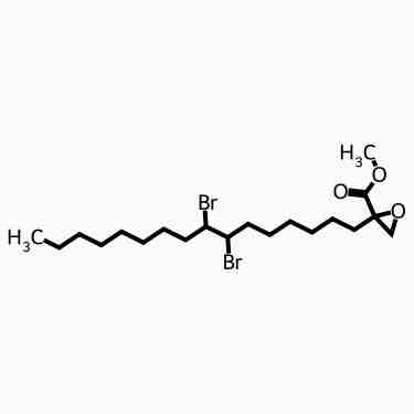 CCCCCCCCC(Br)C(Br)CCCCCCC1(C(=O)OC)CO1